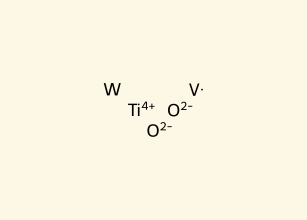 [O-2].[O-2].[Ti+4].[V].[W]